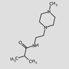 CC(C)C(=O)NCCN1CCN(C)CC1